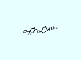 CC(C)(C)N1CCC(OCc2ccc(Cl)nc2)CC1